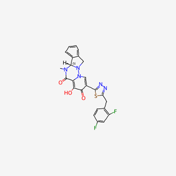 CN1C(=O)c2c(O)c(=O)c(-c3nnc(Cc4ccc(F)cc4F)s3)cn2N2Cc3ccccc3[C@@H]12